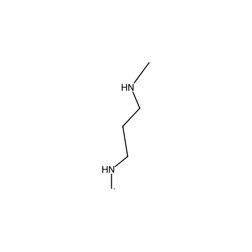 [CH2]NCCCNC